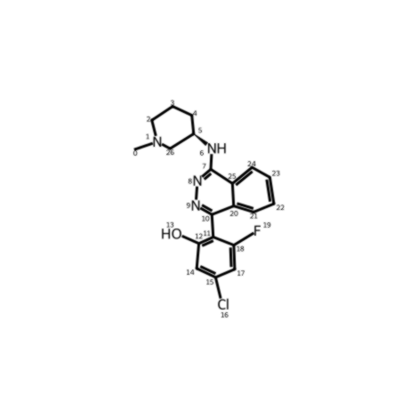 CN1CCC[C@@H](Nc2nnc(-c3c(O)cc(Cl)cc3F)c3ccccc23)C1